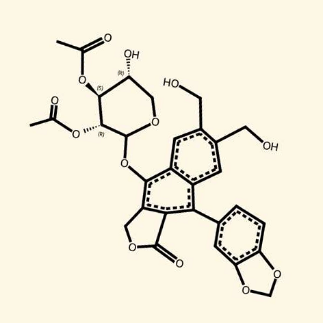 CC(=O)O[C@H]1[C@H](O)COC(Oc2c3c(c(-c4ccc5c(c4)OCO5)c4cc(CO)c(CO)cc24)C(=O)OC3)[C@@H]1OC(C)=O